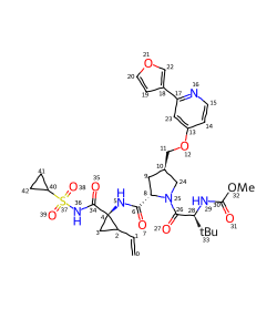 C=CC1C[C@]1(NC(=O)[C@@H]1C[C@@H](COc2ccnc(-c3ccoc3)c2)CN1C(=O)[C@@H](NC(=O)OC)C(C)(C)C)C(=O)NS(=O)(=O)C1CC1